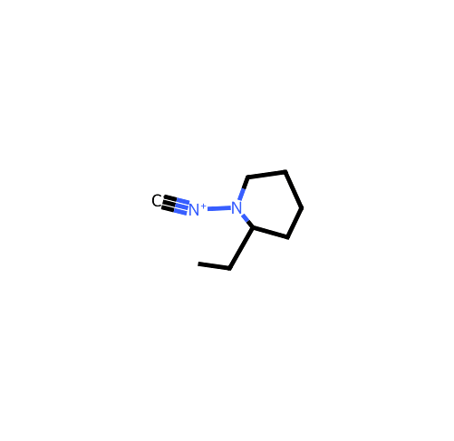 [C-]#[N+]N1CCCCC1CC